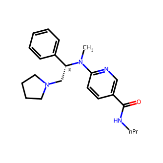 CCCNC(=O)c1ccc(N(C)[C@H](CN2CCCC2)c2ccccc2)nc1